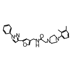 Cc1cccc(N2CCN(CC(=O)NCc3coc(-c4ccn(-c5ccccc5)n4)c3)CC2)c1C